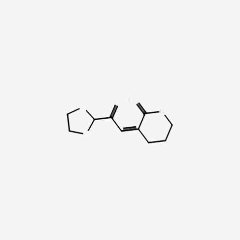 C=C1NCCC/C1=C/C(=C)C1OCCO1